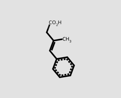 C/C(=C\c1ccccc1)CC(=O)O